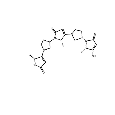 C[C@@H]1NC(=O)C=C1N1CCC(N2C(=O)C=C(N3CC[C@H](N4C(=O)C=C(O)[C@@H]4C)C3)[C@@H]2C)C1